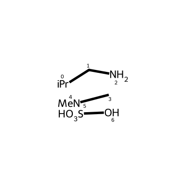 CC(C)CN.CNC.O=S(=O)(O)O